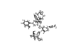 NCc1cccc(OC[C@H]2C[C@@H](c3ccccc3F)CN2S(=O)(=O)N2CCOCC2)c1.O=C(O)C(F)(F)F